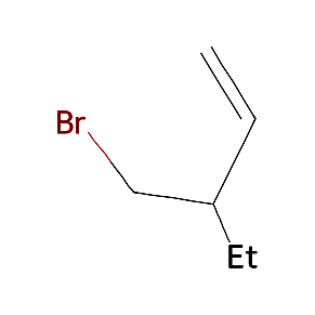 C=CC(CC)CBr